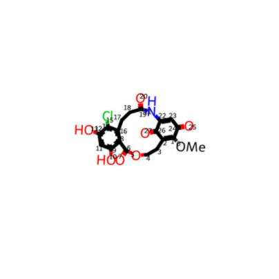 COC1=C2CCOC(=O)c3c(O)cc(O)c(Cl)c3CCC(=O)NC(=CC1=O)C2=O